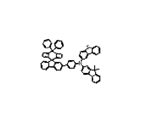 CC1(C)c2ccccc2-c2ccc(N(c3ccc(-c4ccc5c(c4)C4(c6ccccc6-5)c5ccccc5C(c5ccccc5)(c5ccccc5)c5ccccc54)cc3)c3ccc4sc5ccccc5c4c3)cc21